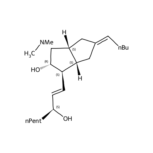 CCCCC=C1C[C@H]2C[C@@H](O)[C@H](C=C[C@@H](O)CCCCC)[C@H]2C1.CNC